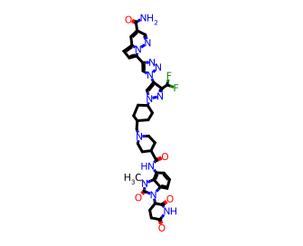 Cn1c(=O)n(C2CCC(=O)NC2=O)c2cccc(NC(=O)C3CCN(CC4CCC(n5cc(-n6cc(-c7ccc8cc(C(N)=O)cnn78)nn6)c(C(F)F)n5)CC4)CC3)c21